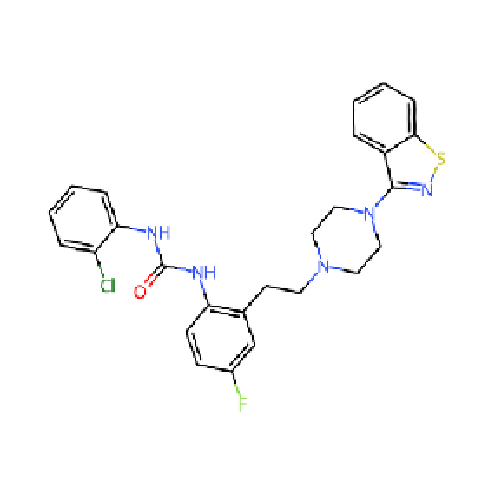 O=C(Nc1ccccc1Cl)Nc1ccc(F)cc1CCN1CCN(c2nsc3ccccc23)CC1